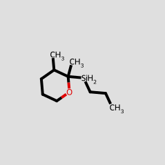 CCC[SiH2]C1(C)OCCCC1C